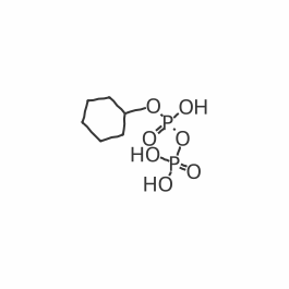 O=P(O)(O)OP(=O)(O)OC1CCCCC1